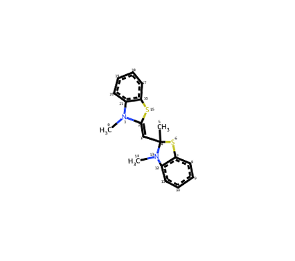 CN1/C(=C/C2(C)Sc3ccccc3N2C)Sc2ccccc21